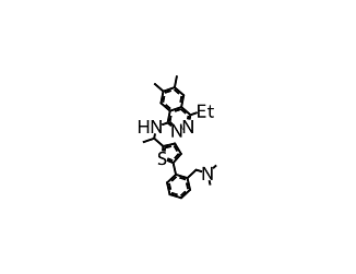 CCc1nnc(NC(C)c2ccc(-c3ccccc3CN(C)C)s2)c2cc(C)c(C)cc12